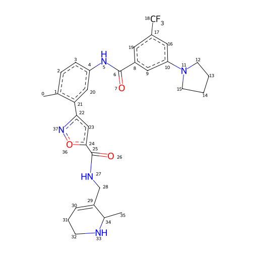 Cc1ccc(NC(=O)c2cc(N3CCCC3)cc(C(F)(F)F)c2)cc1-c1cc(C(=O)NCC2=CCCNC2C)on1